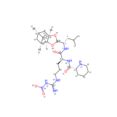 CC(C)C[C@H](NC(=O)[C@H](CCCNC(=N)N[N+](=O)[O-])NC(=O)[C@H]1CCCCN1)B1O[C@@H]2C[C@@H]3C[C@@H](C3(C)C)[C@]2(C)O1